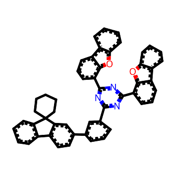 c1cc(-c2ccc3c(c2)C2(CCCCC2)c2ccccc2-3)cc(-c2nc(-c3cccc4c3oc3ccccc34)nc(-c3cccc4c3oc3ccccc34)n2)c1